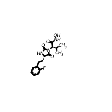 CC(C)[C@H](C(=O)NO)N1C(=O)N[C@@H](CCc2ccccc2F)C1=O